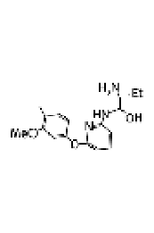 CC[C@@H](N)C(O)Nc1cccc(Oc2ccc(C)c(OC)c2)n1